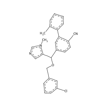 Cc1ccccc1-c1cc(C(OCc2cccc(Cl)c2)c2cncn2C)ccc1C#N